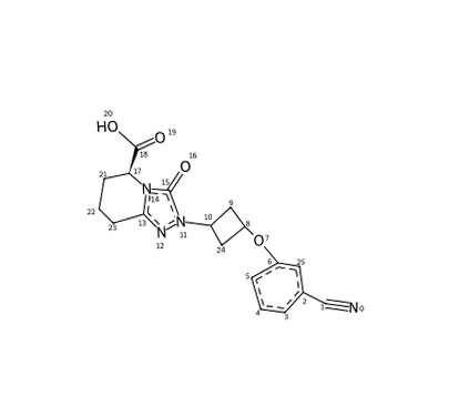 N#Cc1cccc(OC2CC(n3nc4n(c3=O)[C@H](C(=O)O)CCC4)C2)c1